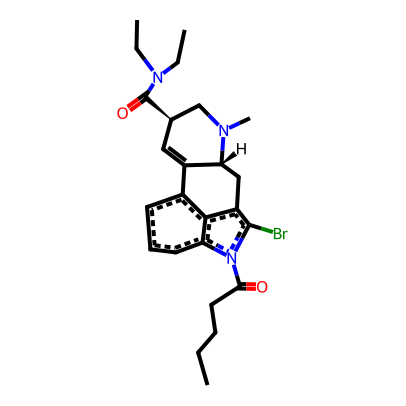 CCCCC(=O)n1c(Br)c2c3c(cccc31)C1=C[C@@H](C(=O)N(CC)CC)CN(C)[C@@H]1C2